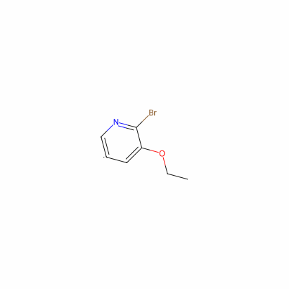 CCOc1c[c]cnc1Br